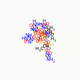 Cc1cn([C@H]2C[C@@H](OP(=O)(S)OC[C@H]3O[C@@H](n4ccc(N)nc4=O)C[C@H]3C(C)C)[C@@H](COP(=O)(S)O[C@@H]3C[C@H](n4cnc5c(=O)[nH]c(N)nc54)O[C@@H]3COP(=S)(S)O[C@@H]3C[C@H](n4cc(C)c(=O)[nH]c4=O)O[C@@H]3COP(=O)(S)O[C@@H]3C[C@H](n4cnc5c(=O)[nH]c(N)nc54)O[C@@H]3COP(=O)(S)OC(C)C)O2)c(=O)[nH]c1=O